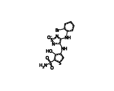 NS(=O)(=O)c1scc(Nc2n[s+]([O-])nc2Nc2ccccc2Br)c1O